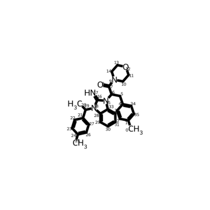 Cc1ccc(CC(C(=O)N2CCOCC2)n2c(=N)n(C(C)c3ccc(C)cc3)c3ccccc32)cc1